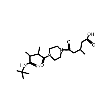 CC(CC(=O)O)CC(=O)N1CCN(C(=O)C(C)C(C)C(=O)NC(C)(C)C)CC1